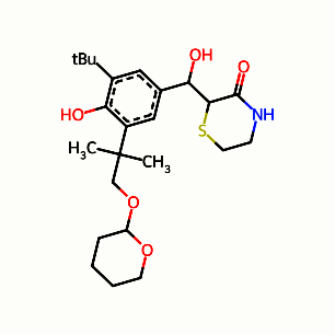 CC(C)(C)c1cc(C(O)C2SCCNC2=O)cc(C(C)(C)COC2CCCCO2)c1O